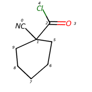 N#CC1(C(=O)Cl)CCCCC1